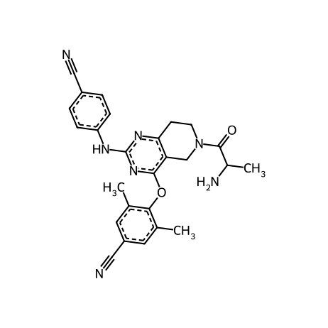 Cc1cc(C#N)cc(C)c1Oc1nc(Nc2ccc(C#N)cc2)nc2c1CN(C(=O)C(C)N)CC2